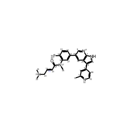 Cc1cc(-c2c[nH]c3ncc(-c4ccc(F)c(N(C)C(=O)/C=C/CN(C)C)c4)cc23)ccn1